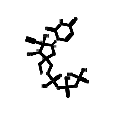 C#C[C@@]1(O)[C@H](N=O)[C@@](CF)(COP(=O)(O)OP(=O)(O)OP(=O)(O)O)O[C@H]1n1ccc(=O)[nH]c1=O